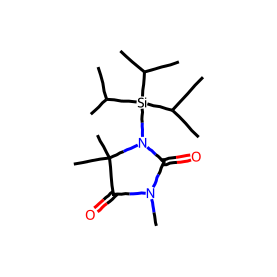 CC(C)[Si](C(C)C)(C(C)C)N1C(=O)N(C)C(=O)C1(C)C